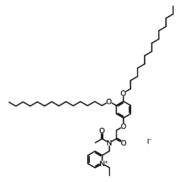 CCCCCCCCCCCCCCOc1ccc(OCC(=O)N(Cc2cccc[n+]2CC)C(C)=O)cc1OCCCCCCCCCCCCCC.[I-]